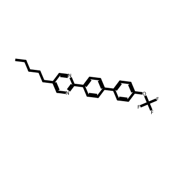 CCCCCc1cnc(-c2ccc(-c3ccc(OC(F)(F)F)cc3)cc2)nc1